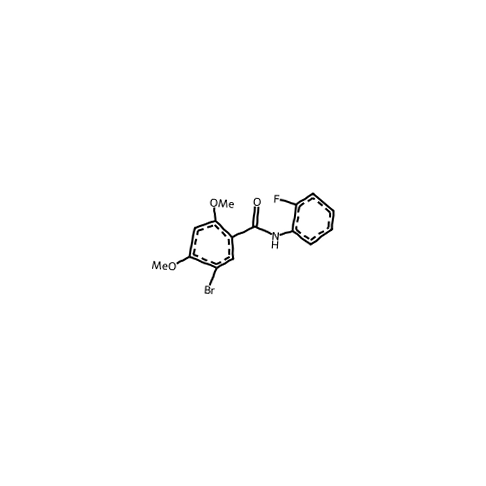 COc1cc(OC)c(C(=O)Nc2ccccc2F)cc1Br